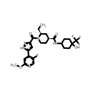 CC[C@H]1C[C@@H](C(=O)NC2CCC(O)(C(F)(F)F)CC2)CCN1C(=O)c1cc(-c2cc(OC)ncc2F)[nH]n1